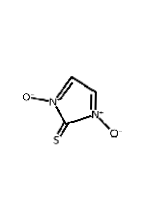 [O-][N+]1=CC=[N+]([O-])C1=S